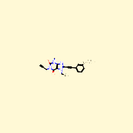 C#CCn1c(=O)c2c(nc(C#Cc3cccc(OC)c3)n2CC(C)=O)n(C)c1=O